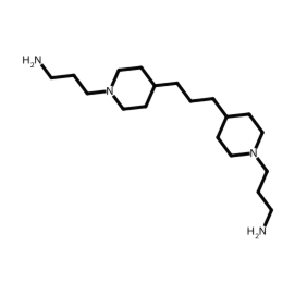 NCCCN1CCC(CCCC2CCN(CCCN)CC2)CC1